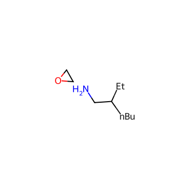 C1CO1.CCCCC(CC)CN